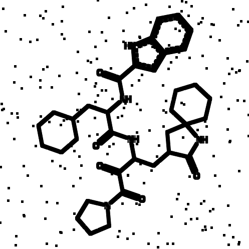 O=C(NC(CC1CCCCC1)C(=O)NC(CC1CC2(CCCCC2)NC1=O)C(=O)C(=O)N1CCCC1)c1cc2ccccc2[nH]1